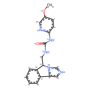 COc1ccc(NC(=O)NCC2c3ccccc3-c3cncn32)nc1